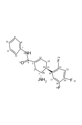 N[C@@H]1CC(C(=O)Nc2ccccc2)=CC[C@H]1c1cc(F)c(F)cc1F